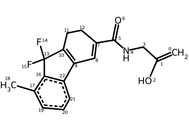 C=C(O)CNC(=O)C1=CC2=C(CC1)C(F)(F)c1c(C)cccc12